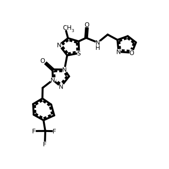 Cc1nc(-n2cnn(Cc3ccc(C(F)(F)F)cc3)c2=O)sc1C(=O)NCc1ccon1